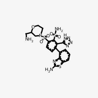 NCC1CN(S(=O)(=O)c2ccc(-c3cccc4sc(N)nc34)c(-c3nnn[nH]3)c2S(N)(=O)=O)CCO1